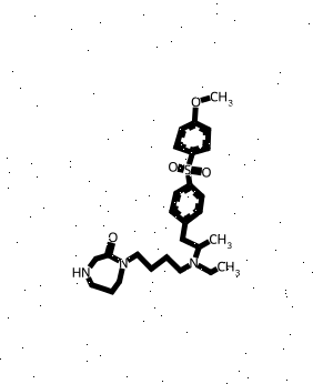 CCN(CCCCN1CCCNCC1=O)C(C)Cc1ccc(S(=O)(=O)c2ccc(OC)cc2)cc1